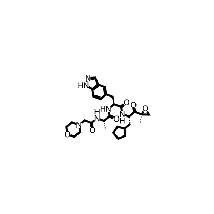 C[C@H](NC(=O)CN1CCOCC1)C(=O)N[C@@H](Cc1ccc2[nH]ncc2c1)C(=O)N[C@@H](CC1CCCC1)C(=O)[C@]1(C)CO1